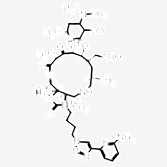 CC[C@H]1OC(=O)[C@H](C)C(=O)[C@H](C)[C@@H](O[C@@H]2O[C@H](C)CC(N(C)C)C2O)[C@@H](CC=O)C[C@@H](C)CN[C@H](C)[C@H]2N(CCCCn3cc(-c4cccc(N)n4)nn3)C(=O)O[C@]12C